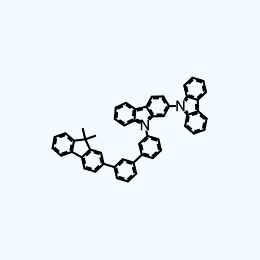 CC1(C)c2ccccc2-c2ccc(-c3cccc(-c4cccc(-n5c6ccccc6c6ccc(-n7c8ccccc8c8ccccc87)cc65)c4)c3)cc21